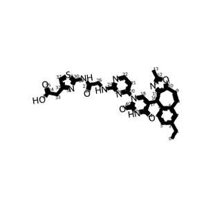 CCc1ccc2c(c1)C=Cc1oc(C)nc1C2c1cn(-c2ccnc(NCC(=O)Nc3nc(CC(=O)O)cs3)n2)c(=O)[nH]c1=O